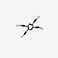 BrC#Cc1cc(C#CBr)c(C#CBr)cc1C#CBr